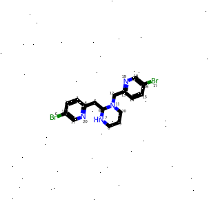 Brc1ccc(CC2NCCCN2Cc2ccc(Br)cn2)nc1